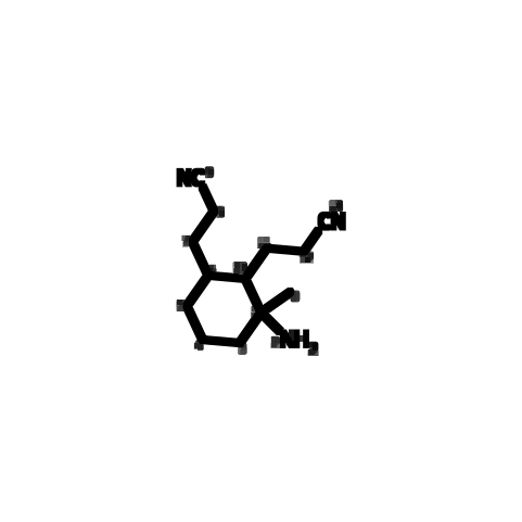 CC1(N)CCCC(CCC#N)C1CCC#N